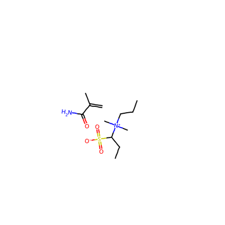 C=C(C)C(N)=O.CCC[N+](C)(C)C(CC)S(=O)(=O)[O-]